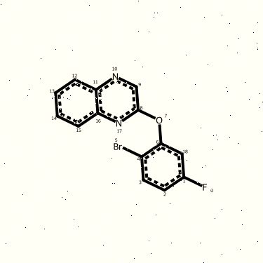 Fc1ccc(Br)c(Oc2cnc3ccccc3n2)c1